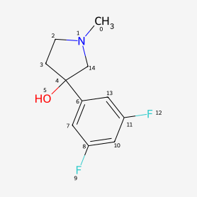 CN1CCC(O)(c2cc(F)cc(F)c2)C1